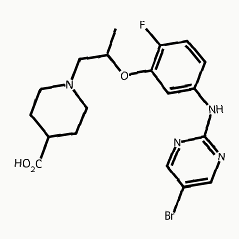 CC(CN1CCC(C(=O)O)CC1)Oc1cc(Nc2ncc(Br)cn2)ccc1F